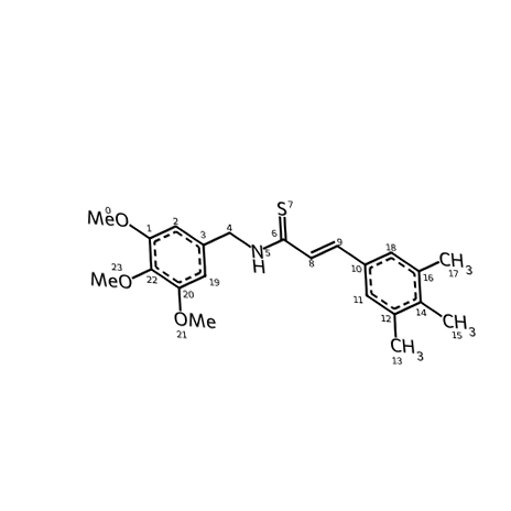 COc1cc(CNC(=S)/C=C/c2cc(C)c(C)c(C)c2)cc(OC)c1OC